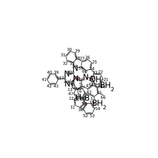 Bc1c(B)c(-c2c(-c3ccccc3)cccc2-n2c3ccccc3c3ccc4c5ccccc5n(-c5nc(-c6ccccc6)nc(-c6ccc(-c7ccccc7)cc6)n5)c4c32)c(O)c(B)c1C